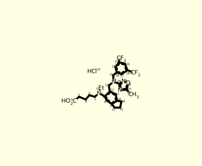 CCN(CCCCC(=O)O)c1cc2c(cc1CN(Cc1cc(C(F)(F)F)cc(C(F)(F)F)c1)c1noc(C)n1)CCC2.Cl